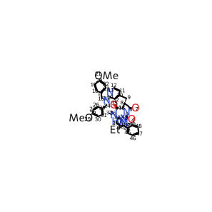 CCC(NC(=O)N1C(=O)[C@H](Cc2ccnc(N(Cc3ccc(OC)cc3)Cc3ccc(OC)cc3)c2)[C@H]1C(=O)N(C)c1ccn(C)n1)c1ccccc1